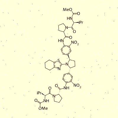 COC(=O)N[C@H](C(=O)N1CCCC1C(=O)Nc1ccc([C@H]2CC[C@H](c3ccc(NC(=O)[C@@H]4CCCN4C(=O)[C@@H](NC(=O)OC)C(C)C)c([N+](=O)[O-])c3)N2c2nc3c(s2)CCCC3)cc1[N+](=O)[O-])C(C)C